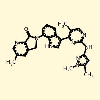 Cc1cnc2c(c1)CN(c1cccc3c(-c4nc(Nc5cc(C)n(C)n5)ncc4C)c[nH]c13)C2=O